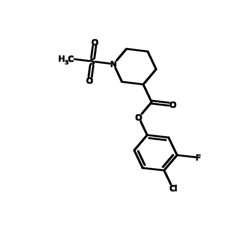 CS(=O)(=O)N1CCCC(C(=O)Oc2ccc(Cl)c(F)c2)C1